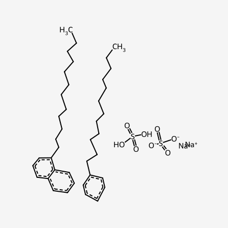 CCCCCCCCCCCCc1cccc2ccccc12.CCCCCCCCCCCCc1ccccc1.O=S(=O)(O)O.O=S(=O)([O-])[O-].[Na+].[Na+]